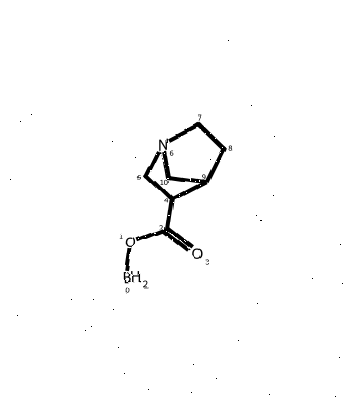 BOC(=O)C1CN2CCC1C2